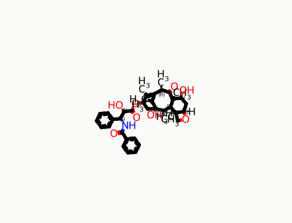 CC1=C2[C@@H](C)C(=O)[C@@]3(C)[C@H]([C@H](C)[C@](O)(CC1OC(=O)[C@H](O)[C@@H](NC(=O)c1ccccc1)c1ccccc1)C2(C)C)[C@]1(C)CO[C@@H]1C[C@@H]3O